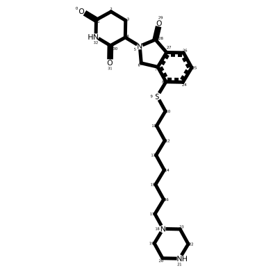 O=C1CCC(N2Cc3c(SCCCCCCCCN4CCNCC4)cccc3C2=O)C(=O)N1